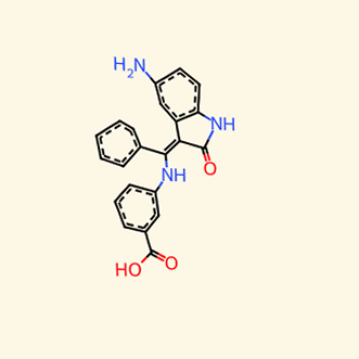 Nc1ccc2c(c1)/C(=C(/Nc1cccc(C(=O)O)c1)c1ccccc1)C(=O)N2